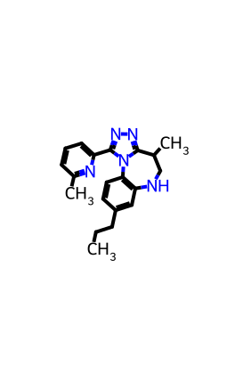 CCCc1ccc2c(c1)NCC(C)c1nnc(-c3cccc(C)n3)n1-2